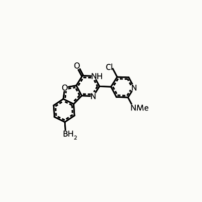 Bc1ccc2oc3c(=O)[nH]c(-c4cc(NC)ncc4Cl)nc3c2c1